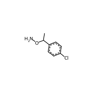 CC(ON)c1ccc(Cl)cc1